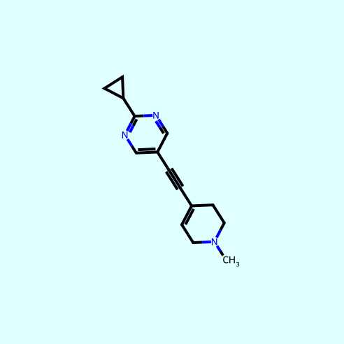 CN1CC=C(C#Cc2cnc(C3CC3)nc2)CC1